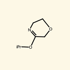 CC(C)OC1=NCCOC1